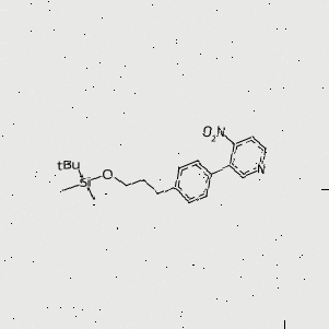 CC(C)(C)[Si](C)(C)OCCCc1ccc(-c2cnccc2[N+](=O)[O-])cc1